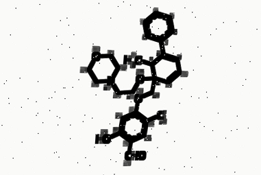 CC1C(c2ccccc2)=CC=CC1(COc1cc(O)c(C=O)cc1Cl)OCCN1CCOCC1